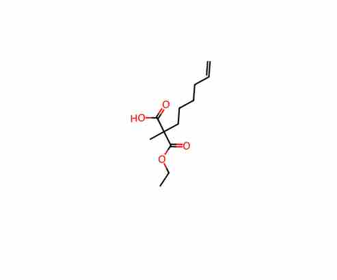 C=CCCCCC(C)(C(=O)O)C(=O)OCC